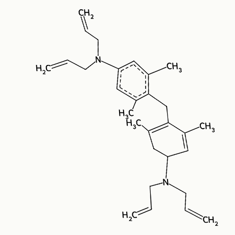 C=CCN(CC=C)c1cc(C)c(CC2=C(C)CC(N(CC=C)CC=C)C=C2C)c(C)c1